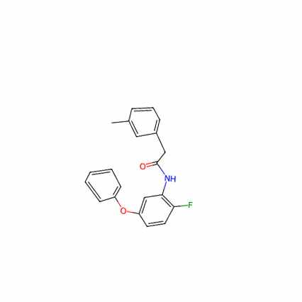 Cc1cccc(CC(=O)Nc2cc(Oc3ccccc3)ccc2F)c1